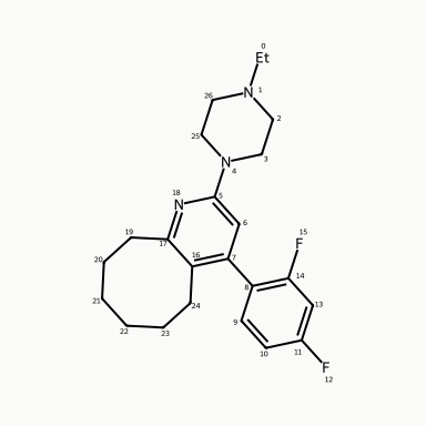 CCN1CCN(c2cc(-c3ccc(F)cc3F)c3c(n2)CCCCCC3)CC1